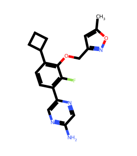 Cc1cc(COc2c(C3CCC3)ccc(-c3cnc(N)cn3)c2F)no1